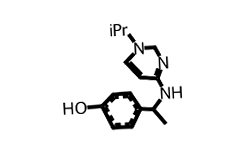 CC(NC1=NCN(C(C)C)C=C1)c1ccc(O)cc1